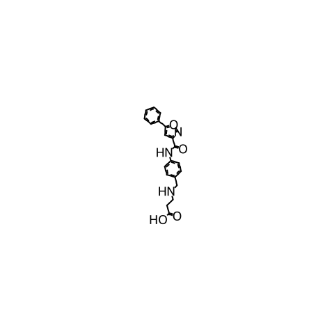 O=C(O)CCNCc1ccc(NC(=O)c2cc(-c3ccccc3)on2)cc1